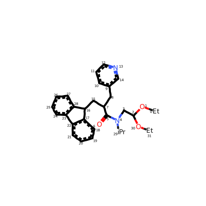 CCOC(CN(C(=O)[C](Cc1cccnc1)CC1c2ccccc2-c2ccccc21)C(C)C)OCC